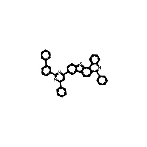 c1ccc(-c2cccc(-c3nc(-c4ccccc4)cc(-c4ccc5sc6c(ccc7c(-c8ccccc8)nc8ccccc8c76)c5c4)n3)c2)cc1